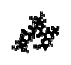 C[C@@H](OC1(C)CC1)[C@H](NC(=O)C(F)(F)F)C(=O)N1C[C@H]2[C@@H]([C@@H]1C(=O)N[C@H](C#N)C[C@@H]1CC(C)(C)NC1=O)C2(C)C